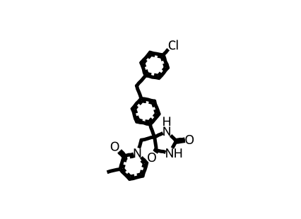 Cc1cccn(CC2(c3ccc(Cc4ccc(Cl)cc4)cc3)NC(=O)NC2=O)c1=O